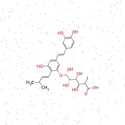 CC(C)/C=C/c1c(O)cc(/C=C/c2ccc(O)c(O)c2)cc1O[C@H](O)[C@@H](O)C(O)[C@H](O)C(I)C(=O)O